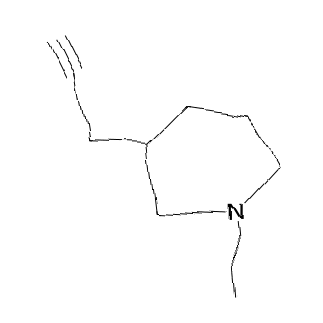 C#CCC1CCCN(C)C1